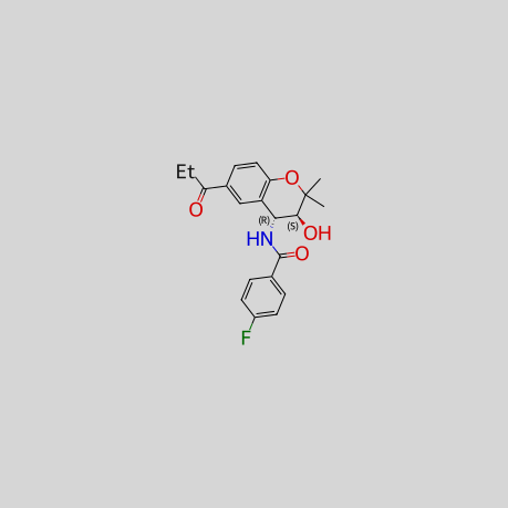 CCC(=O)c1ccc2c(c1)[C@@H](NC(=O)c1ccc(F)cc1)[C@H](O)C(C)(C)O2